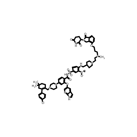 CN(CCCOc1cccc2c1CN(C1CCC(=O)NC1=O)C2=O)CCN1CCC(CNc2ccc(S(=O)(=O)NC(=O)c3ccc(N4CCN(CC5=C(c6ccc(Cl)cc6)CC(C)(C)CC5)CC4)cc3Oc3cnc4[nH]ccc4c3)cc2[N+](=O)[O-])CC1